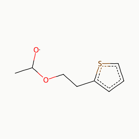 CC([O])OCCc1cccs1